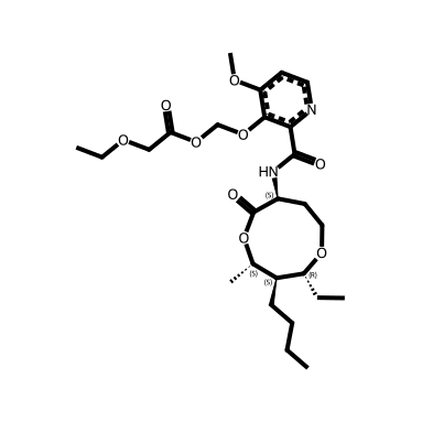 CCCC[C@H]1[C@H](C)OC(=O)[C@@H](NC(=O)c2nccc(OC)c2OCOC(=O)COCC)CCO[C@@H]1CC